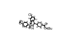 CC(C)Oc1ccc(S(=O)(=O)N[C@@H](c2ccc(Cl)cc2)C2CCN(C(=O)OC(C)(C)C)CC2)cn1